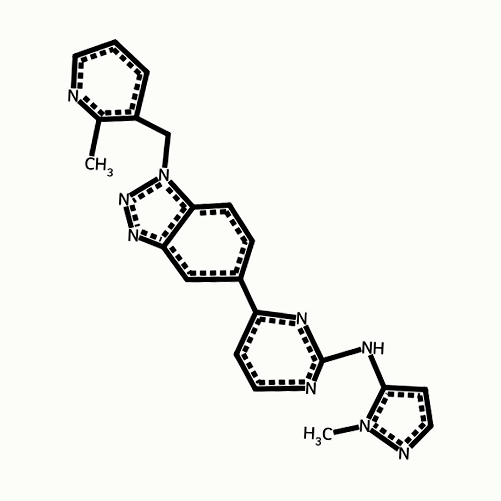 Cc1ncccc1Cn1nnc2cc(-c3ccnc(Nc4ccnn4C)n3)ccc21